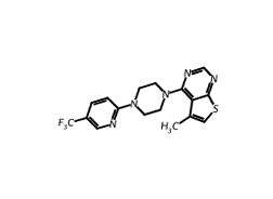 Cc1csc2ncnc(N3CCN(c4ccc(C(F)(F)F)cn4)CC3)c12